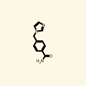 NC(=O)c1ccc(Cn2ccnc2)cc1